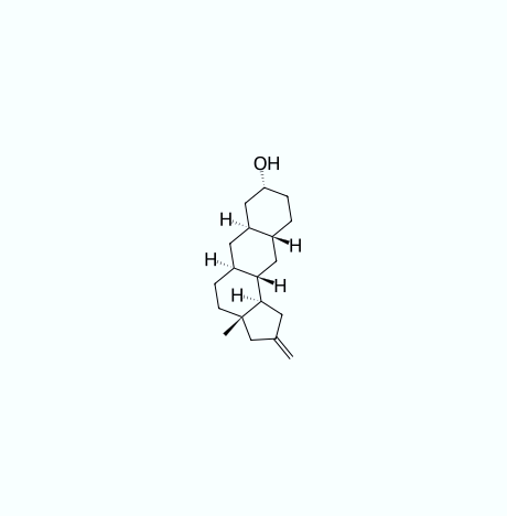 C=C1C[C@@H]2[C@H]3C[C@H]4CC[C@@H](O)C[C@@H]4C[C@@H]3CC[C@@]2(C)C1